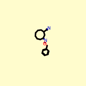 N#CC1CCCCCC/C(=N\OCc2ccccc2)C1